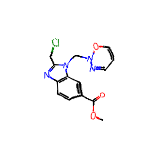 COC(=O)c1ccc2nc(CCl)n(CN3N=CC=CO3)c2c1